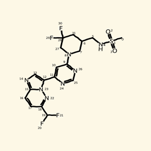 CS(=O)(=O)NCC1CN(c2cc(-c3cnc4ccc(C(F)F)nn34)ncn2)CC(F)(F)C1